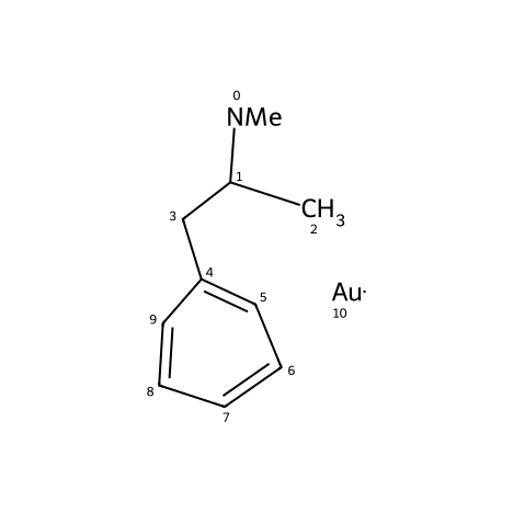 CNC(C)Cc1ccccc1.[Au]